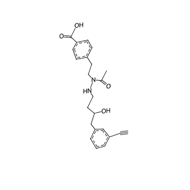 C#Cc1cccc(CC(O)CCNN(CCc2ccc(C(=O)O)cc2)C(C)=O)c1